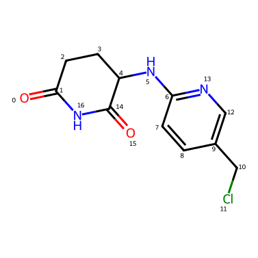 O=C1CCC(Nc2ccc(CCl)cn2)C(=O)N1